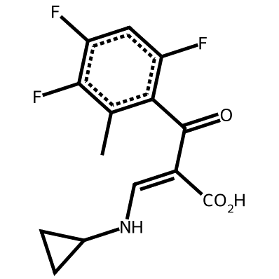 Cc1c(F)c(F)cc(F)c1C(=O)C(=CNC1CC1)C(=O)O